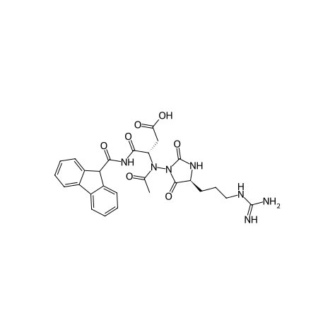 CC(=O)N([C@@H](CC(=O)O)C(=O)NC(=O)C1c2ccccc2-c2ccccc21)N1C(=O)N[C@@H](CCCNC(=N)N)C1=O